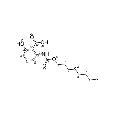 CCCCSCCCOC(=O)Nc1cccc(O)c1C(=O)O